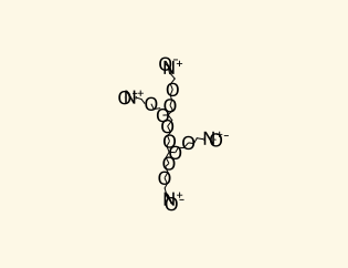 [O-][N+]#CCCOCCOCC(COCCOCC(COCCOCCC#[N+][O-])OCCOCCC#[N+][O-])OCCOCCC#[N+][O-]